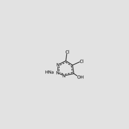 Oc1nnnc(Cl)c1Cl.[NaH]